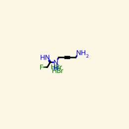 Br.Br.N=C(CF)NCC#CCN